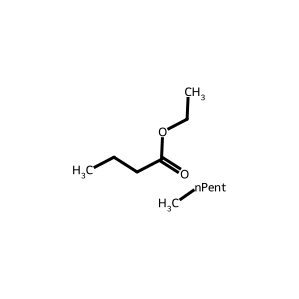 CCCC(=O)OCC.CCCCCC